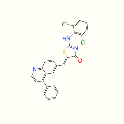 O=C1N=C(Nc2c(Cl)cccc2Cl)S/C1=C\c1ccc2nccc(-c3ccccc3)c2c1